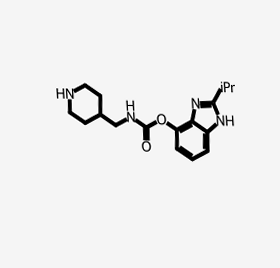 CC(C)c1nc2c(OC(=O)NCC3CCNCC3)cccc2[nH]1